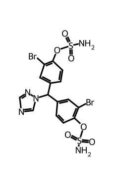 NS(=O)(=O)Oc1ccc(C(c2ccc(OS(N)(=O)=O)c(Br)c2)n2cncn2)cc1Br